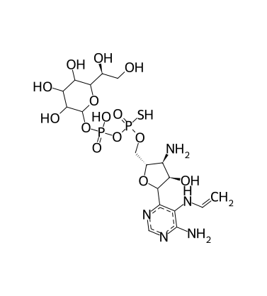 C=CNc1c(N)ncnc1C1O[C@H](COP(=O)(S)OP(=O)(O)OC2OC([C@@H](O)CO)C(O)C(O)C2O)[C@@H](N)[C@H]1O